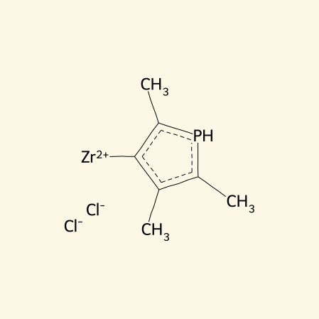 Cc1[pH]c(C)[c]([Zr+2])c1C.[Cl-].[Cl-]